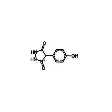 O=C1NN[N+](=O)C1c1ccc(O)cc1